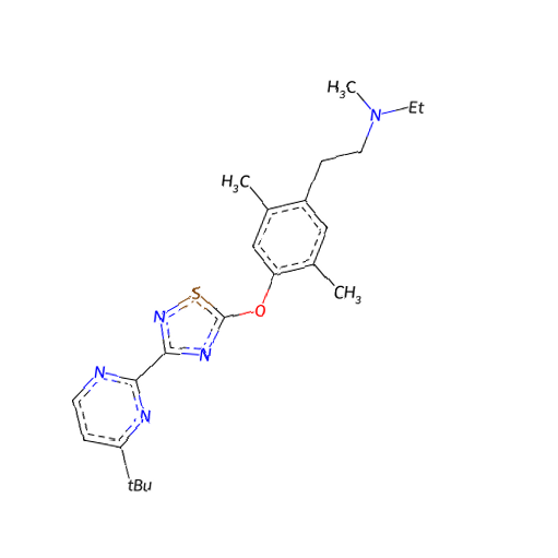 CCN(C)CCc1cc(C)c(Oc2nc(-c3nccc(C(C)(C)C)n3)ns2)cc1C